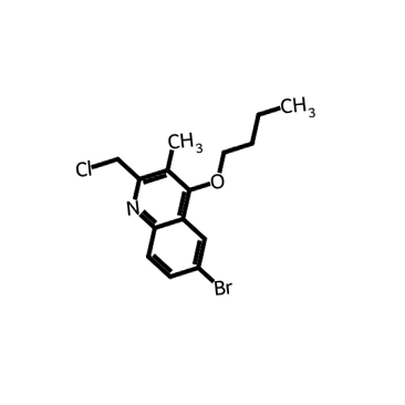 CCCCOc1c(C)c(CCl)nc2ccc(Br)cc12